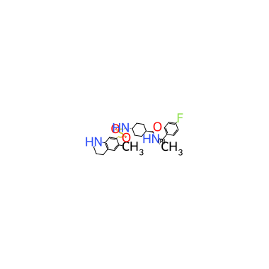 Cc1cc2c(cc1S(=O)(=O)N[C@H]1CC[C@H](C(=O)N[C@H](C)c3ccc(F)cc3)CC1)NCCC2